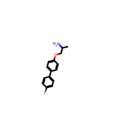 CC(N)COc1ccc(-c2ccc(F)cc2)cc1